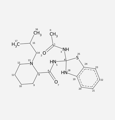 CC(=O)NC1(NC(=O)C2CCCCN2CC(C)C)Nc2ccccc2S1